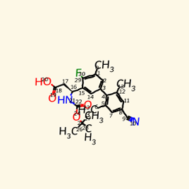 Cc1cc(-c2c(C)cc(C#N)cc2C)cc([C@H](CC(=O)O)NC(=O)OC(C)(C)C)c1F